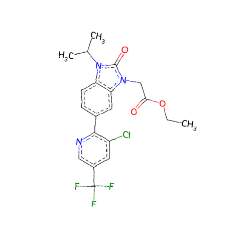 CCOC(=O)Cn1c(=O)n(C(C)C)c2ccc(-c3ncc(C(F)(F)F)cc3Cl)cc21